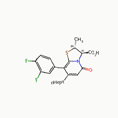 CCCCCCCc1cc(=O)n2c(c1-c1ccc(F)c(F)c1)S[C@H](C)[C@H]2C(=O)O